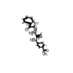 O=C(O)c1ccc(NC(=S)NN=C2Nc3ccccc3C2=O)cc1